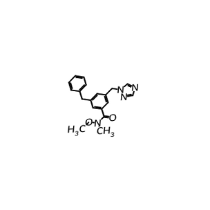 CON(C)C(=O)c1cc(Cc2ccccc2)cc(Cn2cncn2)c1